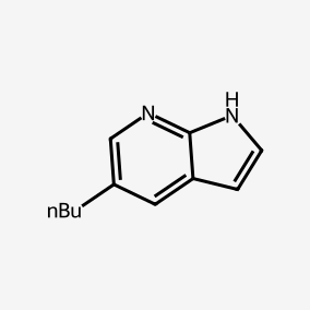 CCCCc1cnc2[nH]ccc2c1